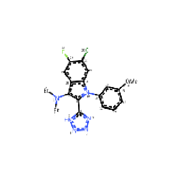 CCN(CC)c1c(-c2nnn[nH]2)n(-c2cccc(OC)c2)c2cc(Cl)c(F)cc12